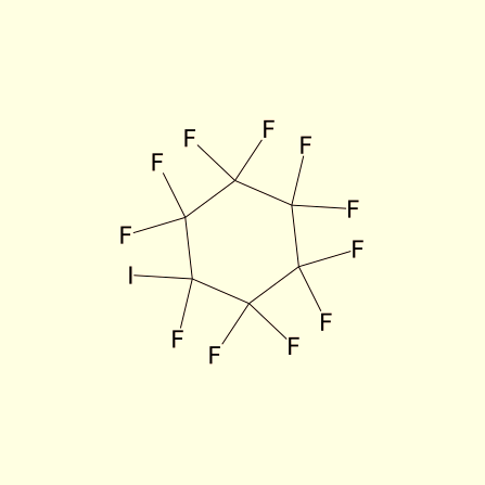 FC1(F)C(F)(F)C(F)(F)C(F)(I)C(F)(F)C1(F)F